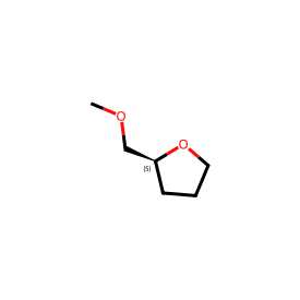 COC[C@@H]1CCCO1